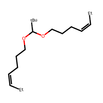 CC/C=C\CCCOC(OCCC/C=C\CC)C(C)(C)C